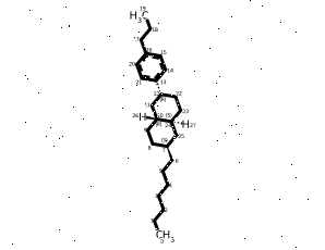 CCCCCCC[C@H]1CC[C@@H]2C[C@H](c3ccc(CCC)cc3)CC[C@H]2C1